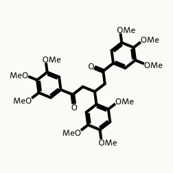 COc1cc(OC)c(C(CC(=O)c2cc(OC)c(OC)c(OC)c2)CC(=O)c2cc(OC)c(OC)c(OC)c2)cc1OC